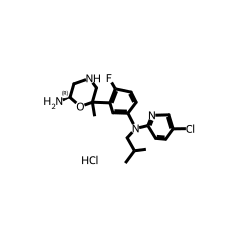 CC(C)CN(c1ccc(F)c(C2(C)CNC[C@H](N)O2)c1)c1ccc(Cl)cn1.Cl